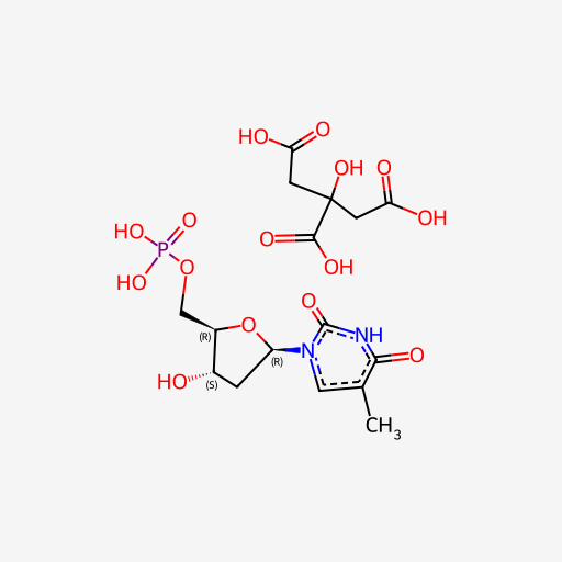 Cc1cn([C@H]2C[C@H](O)[C@@H](COP(=O)(O)O)O2)c(=O)[nH]c1=O.O=C(O)CC(O)(CC(=O)O)C(=O)O